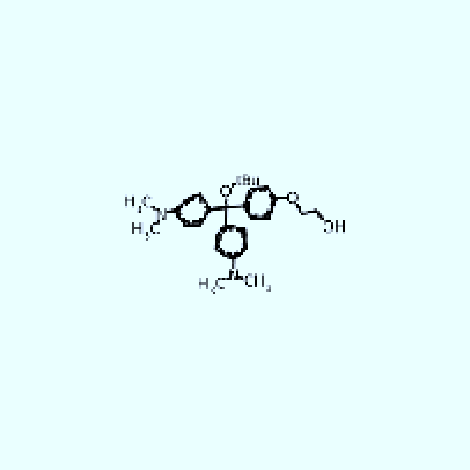 CN(C)c1ccc(C(OC(C)(C)C)(c2ccc(OCCO)cc2)c2ccc(N(C)C)cc2)cc1